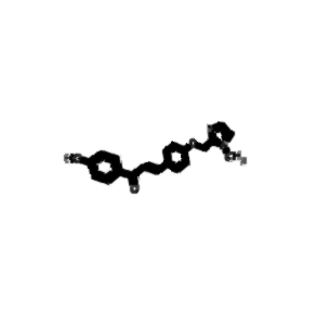 Cn1ccnc1COc1ccc(C=CC(=O)c2ccc(O)cc2)cc1